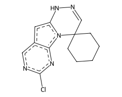 Clc1ncc2cc3n(c2n1)C1(C=NN3)CCCCC1